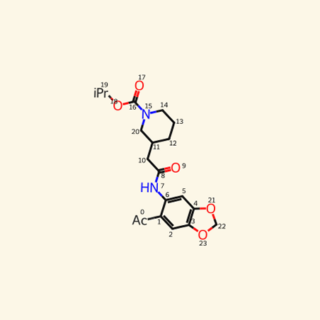 CC(=O)c1cc2c(cc1NC(=O)CC1CCCN(C(=O)OC(C)C)C1)OCO2